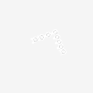 Cc1ccccc1.Cc1ccccc1.Cc1ccccc1.Cc1ccccc1.Cc1ccccc1.Cc1ccccc1C.Cc1ccccc1C.Cc1ccccc1C